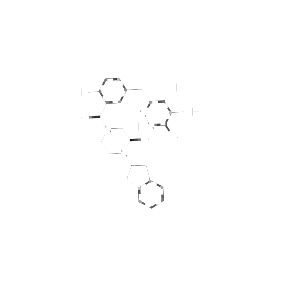 Cc1c(Cc2ccc(F)c(C(=O)N3CCN(C4Cc5ccccc5C4)C(=O)C3)c2)n[nH]c(=O)c1C